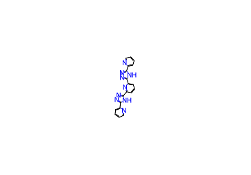 c1ccc(-c2nnc(-c3cccc(-c4nnc(-c5ccccn5)[nH]4)n3)[nH]2)nc1